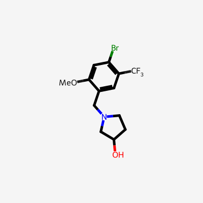 COc1cc(Br)c(C(F)(F)F)cc1CN1CCC(O)C1